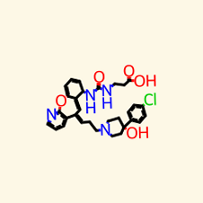 O=C(O)CCNC(=O)NC1C=CC=C2Oc3ncccc3C(=CCCN3CCC(O)(c4ccc(Cl)cc4)CC3)C=C21